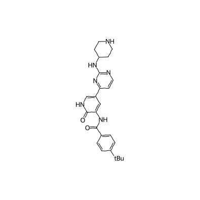 CC(C)(C)c1ccc(C(=O)Nc2cc(-c3ccnc(NC4CCNCC4)n3)c[nH]c2=O)cc1